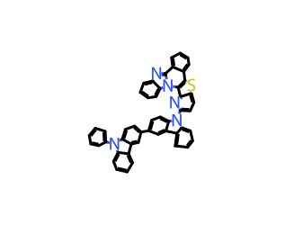 c1ccc(-n2c3ccccc3c3cc(-c4ccc5c(c4)c4ccccc4n5-c4ccc5sc6c7ccccc7c7nc8ccccc8n7c6c5n4)ccc32)cc1